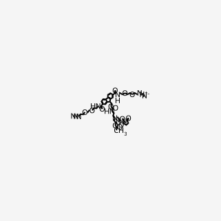 CC(=O)OCCN(CCNC(=O)OCC1c2cc(C(=O)NCCOCCOCCN=[N+]=[N-])ccc2-c2ccc(C(=O)NCCOCCOCCN=[N+]=[N-])cc21)CC(=O)ON1C(=O)CCC1=O